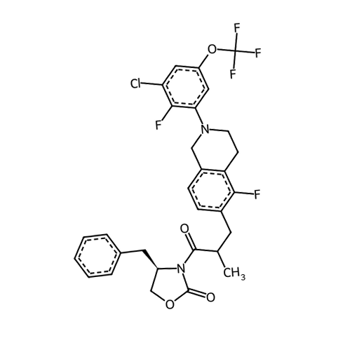 CC(Cc1ccc2c(c1F)CCN(c1cc(OC(F)(F)F)cc(Cl)c1F)C2)C(=O)N1C(=O)OC[C@H]1Cc1ccccc1